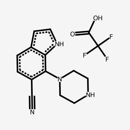 N#Cc1ccc2cc[nH]c2c1N1CCNCC1.O=C(O)C(F)(F)F